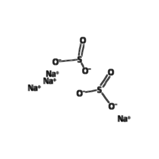 O=S([O-])[O-].O=S([O-])[O-].[Na+].[Na+].[Na+].[Na+]